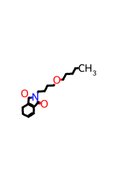 CCCCCOCCCCN1C(=O)C2=C(CCC=C2)C1=O